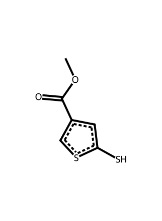 COC(=O)c1csc(S)c1